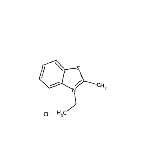 CC[n+]1c(C)sc2ccccc21.[Cl-]